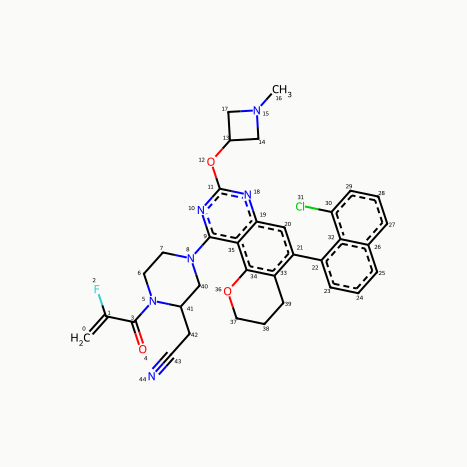 C=C(F)C(=O)N1CCN(c2nc(OC3CN(C)C3)nc3cc(-c4cccc5cccc(Cl)c45)c4c(c23)OCCC4)CC1CC#N